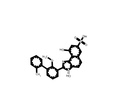 COc1c(-c2nc3c(ccc4cc(S(=O)(=O)O)cc(O)c43)[nH]2)cccc1-c1ccccc1C.Cl